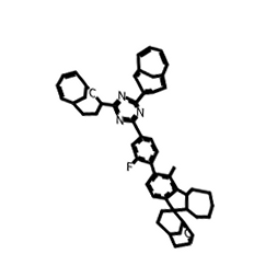 Cc1c(-c2ccc(-c3nc(C4=CC=C5C=CC=CC(=C4)C5)nc(C4CCC5C=CC=CC(C5)C4)n3)cc2F)ccc2c1C1CCCCCC1C21CCC2CC3CC1(C2)C3